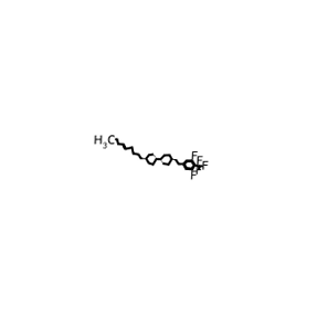 CCC/C=C/CCCC[C@H]1CC[C@H]([C@H]2CC[C@H](CCc3cc(F)c(C(F)(F)F)c(F)c3)CC2)CC1